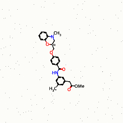 COC(=O)Cc1cc(C)cc(NC(=O)c2ccc(OC[C@@H]3CN(C)c4ccccc4O3)cc2)c1